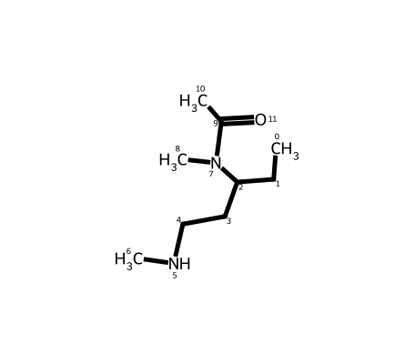 CCC(CCNC)N(C)C(C)=O